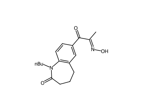 CCCCN1C(=O)CCCc2cc(C(=O)C(C)=NO)ccc21